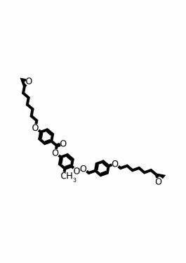 Cc1cc(OC(=O)c2ccc(OCCCCCCC3CO3)cc2)ccc1OOCc1ccc(OCCCCCCC2CO2)cc1